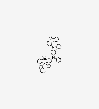 CC1(C)c2ccccc2-c2c(-n3c4ccccc4c4cc(N(c5ccccc5)c5ccc6c(c5)[Si](C)(C)c5ccccc5C65c6ccccc6-c6cccc7cccc5c67)ccc43)cccc21